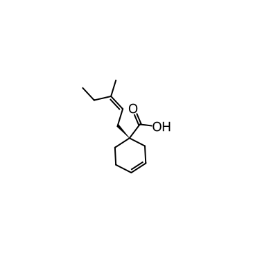 CCC(C)=CC[C@@]1(C(=O)O)CC=CCC1